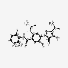 CCn1c(C(C)C(F)(F)F)nn(-c2cc(O[C@@H](C)C(F)(F)F)c(C(=O)Nc3c(C)ccnc3OC)cc2F)c1=O